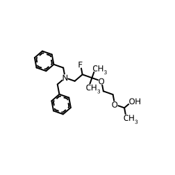 CC(O)OCCOC(C)(C)C(F)CN(Cc1ccccc1)Cc1ccccc1